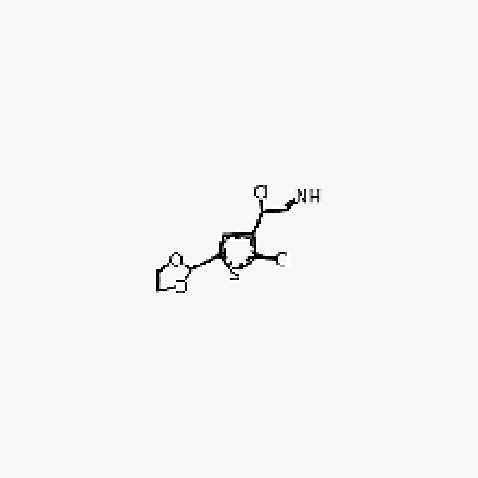 N=CC(Cl)c1cc(C2OCCO2)sc1Cl